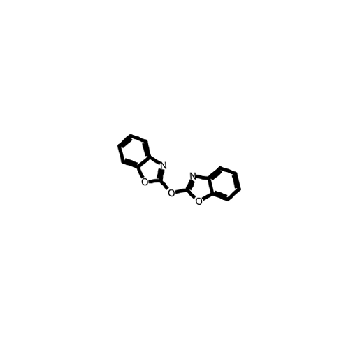 c1ccc2oc(Oc3nc4ccccc4o3)nc2c1